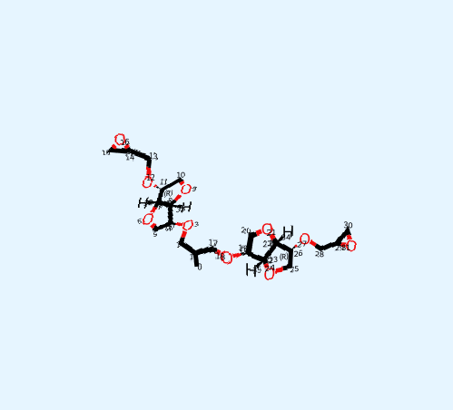 CC(CO[C@H]1CO[C@H]2[C@@H]1OC[C@H]2OCC1CO1)CO[C@H]1CO[C@H]2[C@@H]1OC[C@H]2OCC1CO1